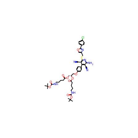 CC(C)(C)OC(=O)NCCCCC(=O)OC[C@H](COc1ccc(-c2c(C#N)c(N)nc(SCc3coc(-c4ccc(Cl)cc4)n3)c2C#N)cc1)OC(=O)CCCCNC(=O)OC(C)(C)C